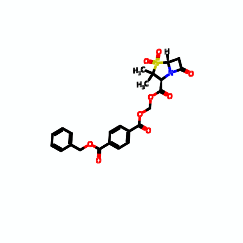 CC1(C)[C@H](C(=O)OCOC(=O)c2ccc(C(=O)OCc3ccccc3)cc2)N2C(=O)C[C@H]2S1(=O)=O